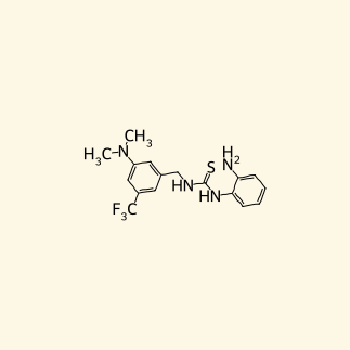 CN(C)c1cc(CNC(=S)Nc2ccccc2N)cc(C(F)(F)F)c1